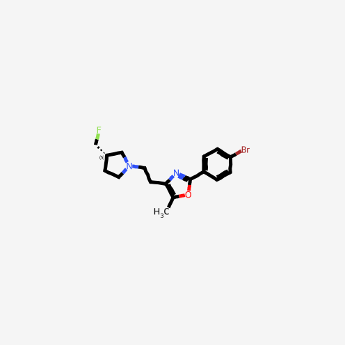 Cc1oc(-c2ccc(Br)cc2)nc1CCN1CC[C@H](CF)C1